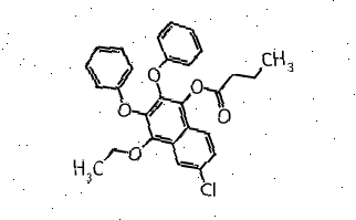 CCCC(=O)Oc1c(Oc2ccccc2)c(Oc2ccccc2)c(OCC)c2cc(Cl)ccc12